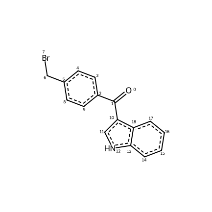 O=C(c1ccc(CBr)cc1)c1c[nH]c2ccccc12